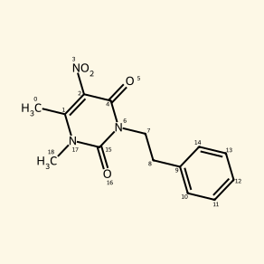 Cc1c([N+](=O)[O-])c(=O)n(CCc2ccccc2)c(=O)n1C